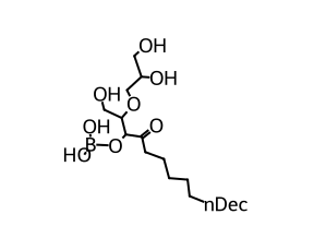 CCCCCCCCCCCCCCCC(=O)C(OB(O)O)C(CO)OCC(O)CO